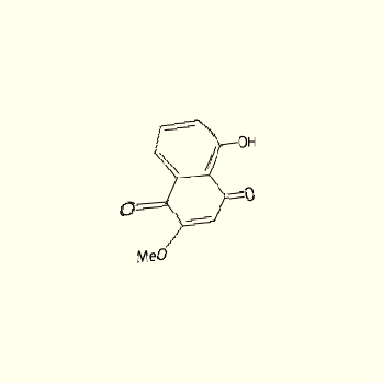 COC1=CC(=O)c2c(O)cccc2C1=O